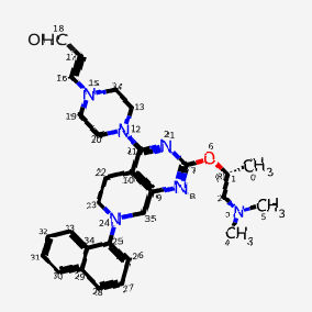 C[C@H](CN(C)C)Oc1nc2c(c(N3CCN(C=CC=O)CC3)n1)CCN(c1cccc3ccccc13)C2